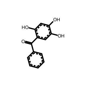 O=C(c1ccccc1)c1cc(O)c(O)cc1O